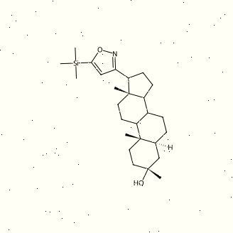 C[C@@]1(O)CC[C@]2(C)C3CC[C@]4(C)C(c5cc([Si](C)(C)C)on5)CCC4C3CC[C@H]2C1